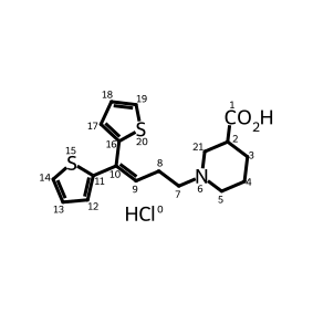 Cl.O=C(O)C1CCCN(CCC=C(c2cccs2)c2cccs2)C1